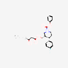 COC(=O)CC(=O)OC[C@H]1CN(C(=O)Oc2ccccc2)CC[C@@H]1c1ccc(F)cc1